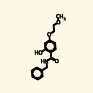 COCCOc1ccc(C(=O)NCc2ccccc2)c(O)c1